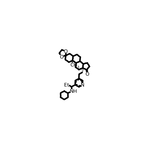 CCC(NC1CCCCC1)c1cncc(CC[C@]23CCC4C(CCC5CC6(CC[C@@]54C)OCCO6)C2CCC3=O)c1